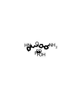 NCc1cccc(C2CCN(C(=O)CCCc3c[nH]c4ccccc34)CC2)c1.O=C(O)C(F)(F)F